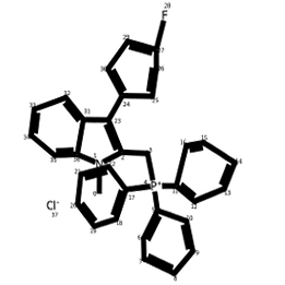 Cn1c(C[P+](c2ccccc2)(c2ccccc2)c2ccccc2)c(-c2ccc(F)cc2)c2ccccc21.[Cl-]